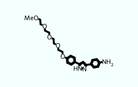 COCCOCCOCCOCCOc1ccc(-c2cc(-c3ccc(N)cc3)n[nH]2)cc1